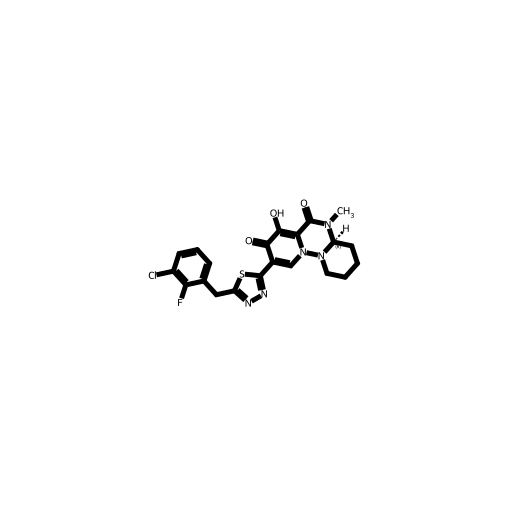 CN1C(=O)c2c(O)c(=O)c(-c3nnc(Cc4cccc(Cl)c4F)s3)cn2N2CCCC[C@H]12